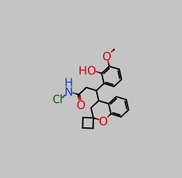 COc1cccc(C(CC(=O)NCl)C2CC3(CCC3)Oc3ccccc32)c1O